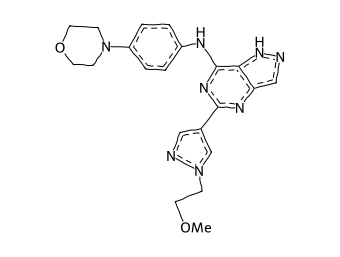 COCCn1cc(-c2nc(Nc3ccc(N4CCOCC4)cc3)c3[nH]ncc3n2)cn1